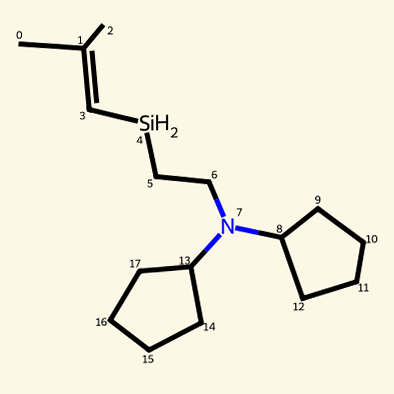 CC(C)=C[SiH2]CCN(C1CCCC1)C1CCCC1